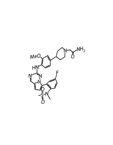 COc1cc(C2CCN(CC(N)=O)CC2)ccc1Nc1ncc2ccc(-c3cc(F)ccc3N(C)S(C)(=O)=O)n2n1